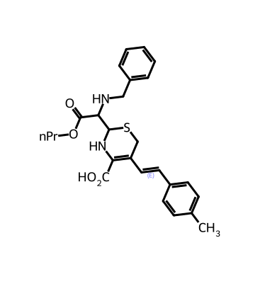 CCCOC(=O)C(NCc1ccccc1)C1NC(C(=O)O)=C(/C=C/c2ccc(C)cc2)CS1